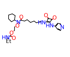 CCNC(=O)OCCON(C(=O)CCCCCCNc1c(Nc2ccncc2)c(=O)c1=O)C1CCCCC1